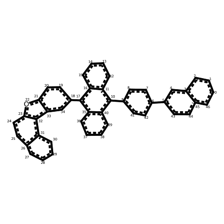 c1ccc2cc(-c3ccc(-c4c5ccccc5c(-c5ccc6oc7ccc8ccccc8c7c6c5)c5ccccc45)cc3)ccc2c1